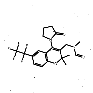 CN(C=O)CC1=C(N2CCCC2=O)c2cc(C(F)(F)C(F)(F)F)ccc2OC1(C)C